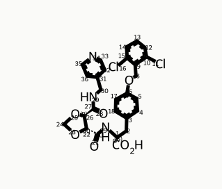 O=C(O)[C@H](Cc1ccc(OCc2c(Cl)cccc2Cl)cc1)NC(=O)[C@@H]1OCO[C@H]1C(=O)NCc1ccncc1